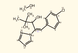 CC(C)(C)C(O)/C(=C\c1ccc(Cl)cc1)n1cncn1.CO